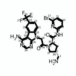 NC[C@H]1C[C@H](C(=O)Nc2cccc(Br)n2)N(C(=O)Cn2c3ccc(C(F)(F)F)cc3c3c(N)ncnc32)C1